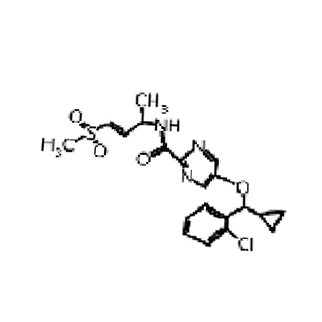 C[C@H](/C=C/S(C)(=O)=O)NC(=O)c1ncc(O[C@H](c2ccccc2Cl)C2CC2)cn1